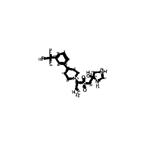 C=CC(N1CCC(c2cccc(C(F)(F)F)c2)CC1)S(=O)(=O)CC1(C)CNCN1